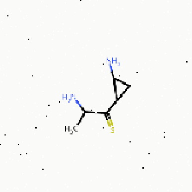 CC(N)C(=S)C1CC1N